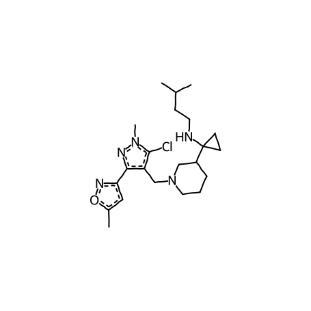 Cc1cc(-c2nn(C)c(Cl)c2CN2CCCC(C3(NCCC(C)C)CC3)C2)no1